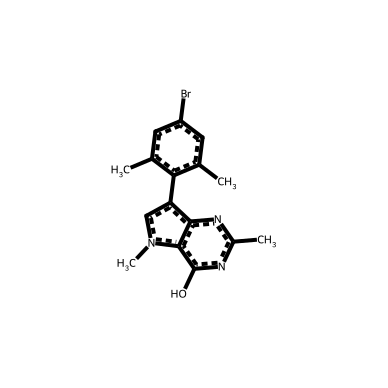 Cc1nc(O)c2c(n1)c(-c1c(C)cc(Br)cc1C)cn2C